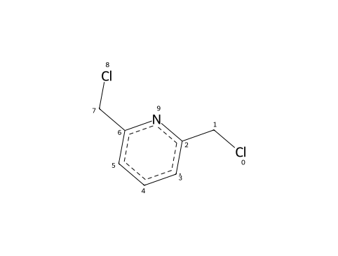 ClCc1[c]ccc(CCl)n1